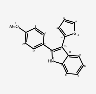 COc1ccc(-c2[nH]c3ccccc3c2-c2cccs2)cc1